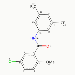 COc1ccc(Cl)cc1C(=O)Nc1cc(C(F)(F)F)cc(C(F)(F)F)c1